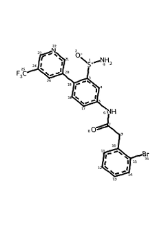 N[S+]([O-])c1cc(NC(=O)Cc2ccccc2Br)ccc1-c1cncc(C(F)(F)F)c1